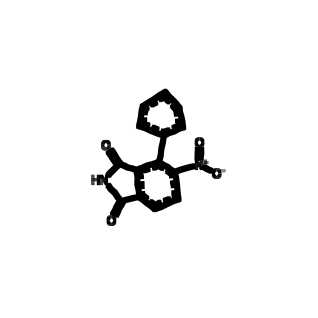 O=C1NC(=O)c2c1ccc([N+](=O)[O-])c2-c1ccccc1